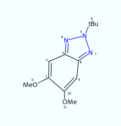 COc1cc2nn(C(C)(C)C)nc2cc1OC